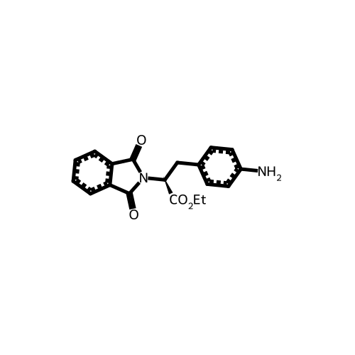 CCOC(=O)[C@H](Cc1ccc(N)cc1)N1C(=O)c2ccccc2C1=O